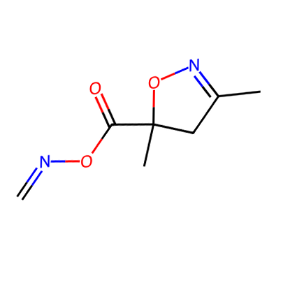 C=NOC(=O)C1(C)CC(C)=NO1